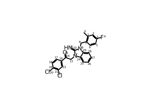 Cc1cc(F)ccc1Cn1c(=N)n(CC(=O)c2ccc(Cl)c(Cl)c2)c2ccccc21